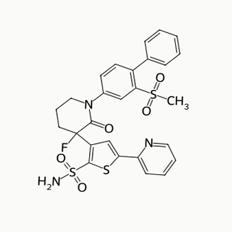 CS(=O)(=O)c1cc(N2CCCC(F)(c3cc(-c4ccccn4)sc3S(N)(=O)=O)C2=O)ccc1-c1ccccc1